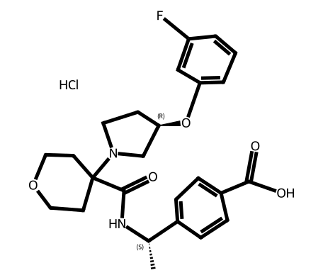 C[C@H](NC(=O)C1(N2CC[C@@H](Oc3cccc(F)c3)C2)CCOCC1)c1ccc(C(=O)O)cc1.Cl